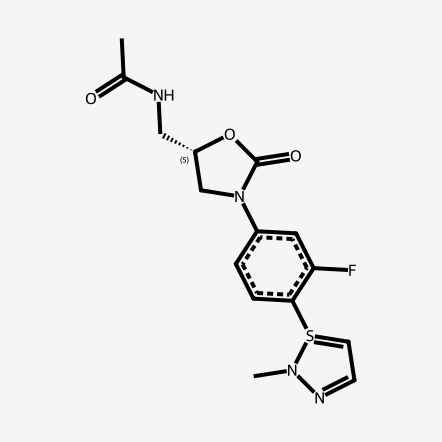 CC(=O)NC[C@H]1CN(c2ccc(S3=CC=NN3C)c(F)c2)C(=O)O1